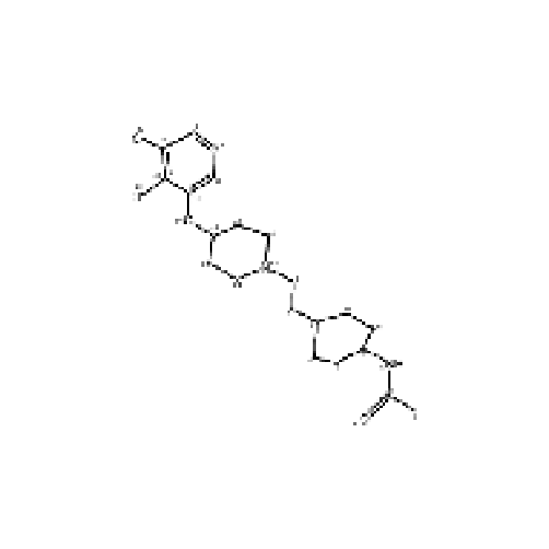 CC(=O)NC1CCC(CCN2CCC(Oc3cccc(Cl)c3Cl)CC2)CC1